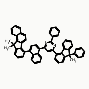 CC1(C)c2cccc(-c3ccc(-c4cc(-c5cccc6c5-c5ccccc5C6(C)c5ccccc5)nc(-c5ccccc5)n4)c4ccccc34)c2-c2ccc3ccccc3c21